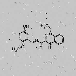 CCOc1ccccc1NC(=S)N/N=C/c1cc(O)ccc1OC